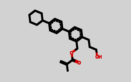 C=C(C)C(=O)OCc1cc(-c2ccc(C3CCCCC3)cc2)ccc1CCCO